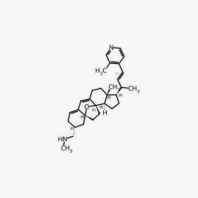 CNC[C@@H]1CC=C2C=C3CC[C@]4(C)[C@@H](C(C)/C=C/c5ccncc5C)CC[C@H]4[C@@]34CC[C@]2(C1)O4